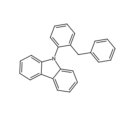 c1ccc(Cc2ccccc2-n2c3ccccc3c3ccccc32)cc1